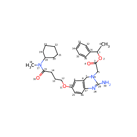 CC(OC(=O)CN1Cc2cc(OCCCC(=O)N(C)C3CCCCC3)ccc2N=C1N)c1ccccc1